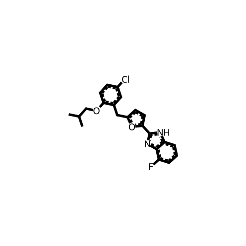 CC(C)COc1ccc(Cl)cc1Cc1ccc(-c2nc3c(F)cccc3[nH]2)o1